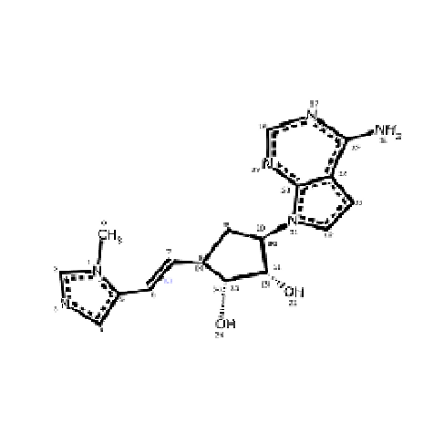 Cn1cncc1/C=C/[C@H]1C[C@@H](n2ccc3c(N)ncnc32)[C@H](O)[C@@H]1O